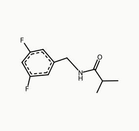 CC(C)C(=O)NCc1cc(F)cc(F)c1